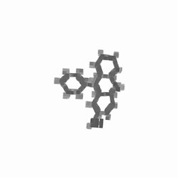 Sc1ccc2nc3ccccc3c(-c3ccccc3)c2c1